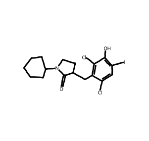 O=C1C(Cc2c(Cl)cc(I)c(O)c2Cl)CCN1C1CCCCC1